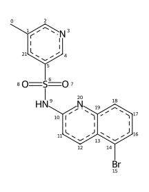 Cc1cncc(S(=O)(=O)Nc2ccc3c(Br)cccc3n2)c1